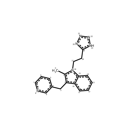 Cc1c(Cc2cccnc2)c2ccccc2n1CCc1nnn[nH]1